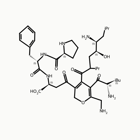 CC[C@H](C)[C@H](N)C(=O)C1=C(CN)OCC(C(=O)C[C@H](NC(=O)[C@H](Cc2ccccc2)NC(=O)[C@@H]2CCCN2)C(=O)O)=C1C(=O)C(C[C@H](O)[C@@H](N)CC(C)C)C(C)C